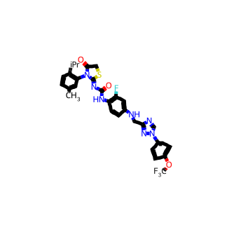 Cc1ccc(C(C)C)c(N2C(=O)CSC2=NC(=O)Nc2ccc(NCc3ncn(-c4ccc(OC(F)(F)F)cc4)n3)cc2F)c1